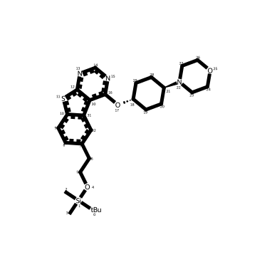 CC(C)(C)[Si](C)(C)OCCc1ccc2sc3ncnc(O[C@H]4CC[C@H](N5CCOCC5)CC4)c3c2c1